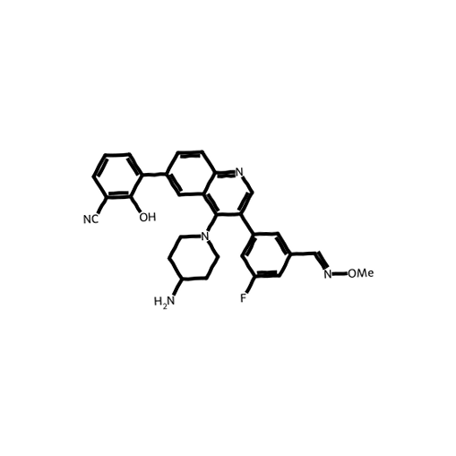 CO/N=C/c1cc(F)cc(-c2cnc3ccc(-c4cccc(C#N)c4O)cc3c2N2CCC(N)CC2)c1